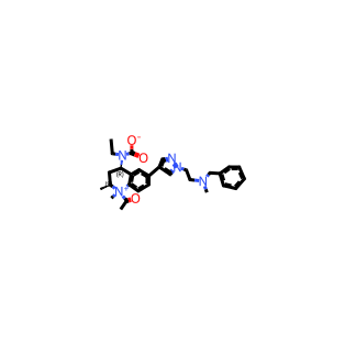 CCN(C(=O)[O-])[C@@H]1C[C@H](C)[N+](C)(C(C)=O)c2ccc(-c3cnn(CCN(C)Cc4ccccc4)c3)cc21